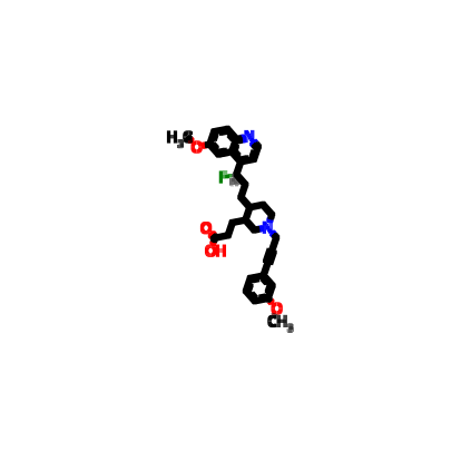 COc1cccc(C#CCN2CCC(CC[C@H](F)c3ccnc4ccc(OC)cc34)C(CCC(=O)O)C2)c1